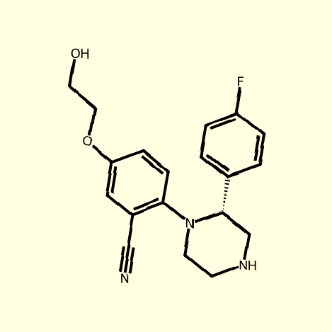 N#Cc1cc(OCCO)ccc1N1CCNC[C@H]1c1ccc(F)cc1